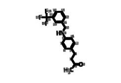 CC(=O)CCc1ccc(NCc2cccc(C(F)(F)F)c2)cc1